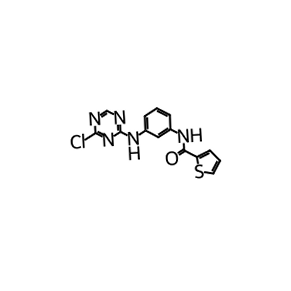 O=C(Nc1cccc(Nc2ncnc(Cl)n2)c1)c1cccs1